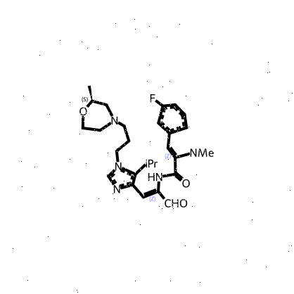 CN/C(=C\c1cccc(F)c1)C(=O)N/C(C=O)=C\c1ncn(CCCN2CCO[C@@H](C)C2)c1C(C)C